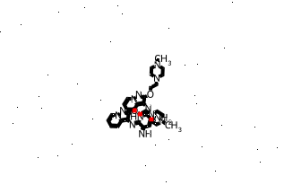 CN1CCN(CCOc2nn3ccccc3c2/N=C2\N/C(=N\c3c(OCCN4CCN(C)CC4)nn4ccccc34)C(N)=CC2=N)CC1